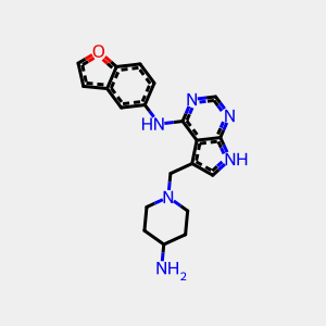 NC1CCN(Cc2c[nH]c3ncnc(Nc4ccc5occc5c4)c23)CC1